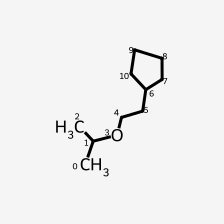 CC(C)OCCC1CCCC1